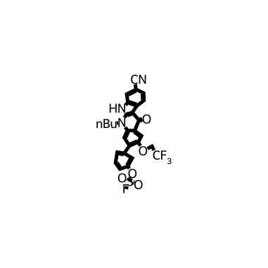 CCCCn1c2cc(-c3cccc(OS(=O)(=O)F)c3)c(OCC(F)(F)F)cc2c(=O)c2c3ccc(C#N)cc3[nH]c21